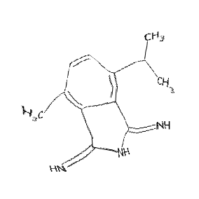 Cc1ccc(C(C)C)c2c1C(=N)NC2=N